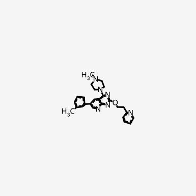 Cc1cccc(-c2cnc3nc(OCCc4ccccn4)nc(N4CCN(C)CC4)c3c2)c1